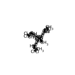 CN1CCN(C(=O)NC(CCC(=O)NCCOCCOCCNS(=O)(=O)c2cccc([C@@H]3CN(C)Cc4c(Cl)cc(Cl)cc43)c2)(CCC(=O)NCCOCCOCCNS(=O)(=O)c2cccc([C@@H]3CN(C)Cc4c(Cl)cc(Cl)cc43)c2)CCC(=O)NCCOCCOCCNS(=O)(=O)c2cccc([C@@H]3CN(C)Cc4c(Cl)cc(Cl)cc43)c2)CC1